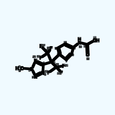 Cn1nnc(C(c2ccc(NC(=O)O)cc2)(C(F)(F)F)C(F)(F)F)n1